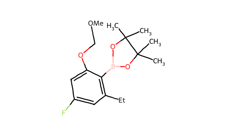 CCc1cc(F)cc(OCOC)c1B1OC(C)(C)C(C)(C)O1